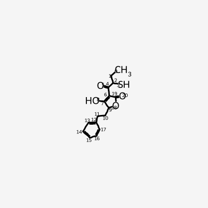 CCC(S)C(=O)C1=C(O)C(CCc2ccccc2)OC1=O